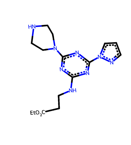 CCOC(=O)CCNc1nc(N2CCNCC2)nc(-n2cccn2)n1